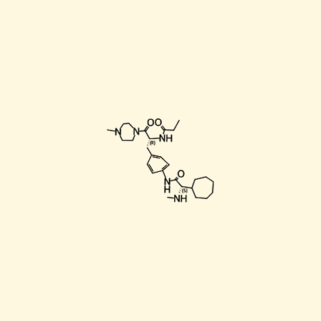 CCC(=O)N[C@H](Cc1ccc(NC(=O)[C@@H](NC)C2CCCCCC2)cc1)C(=O)N1CCN(C)CC1